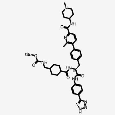 Cc1nc(C(=O)NC2CCN(C)CC2)ccc1-c1ccc(C[C@H](NC(=O)C2CCC(CNC(=O)OC(C)(C)C)CC2)C(=O)Nc2ccc(-c3nn[nH]n3)cc2)cc1